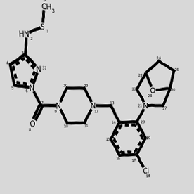 CSNc1ccn(C(=O)N2CCN(Cc3ccc(Cl)cc3N3CC4CCC(C3)O4)CC2)n1